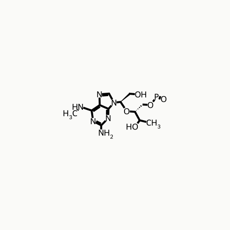 CNc1nc(N)nc2c1ncn2[C@@H](CO)O[C@H](COP=O)C(C)O